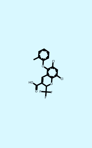 Cc1ccccc1Oc1c(Cl)cc(Cl)c2c1C=C(C(=O)O)C(C(F)(F)F)O2